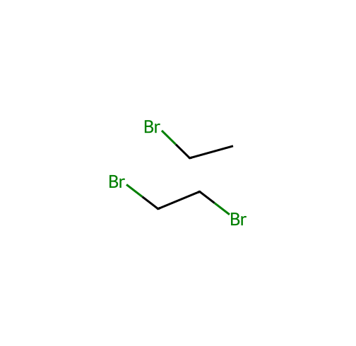 BrCCBr.CCBr